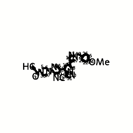 C#CC(=O)N1CCN(c2ccc(-c3cc(-c4cnn(Cc5ccc(OC)cc5)c4)cn4ncc(C#N)c34)cn2)CC1